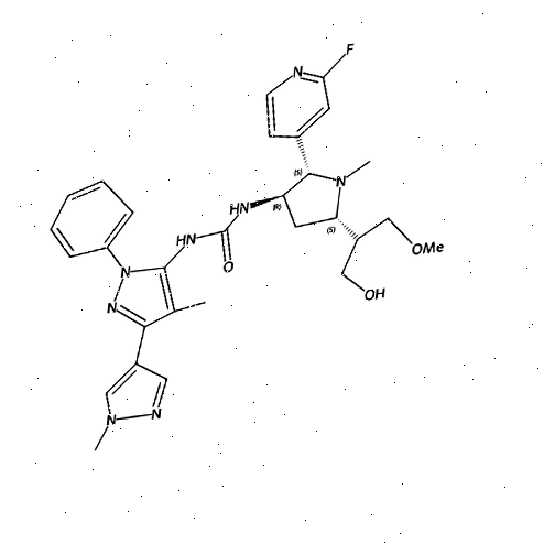 COCC(CO)[C@@H]1C[C@@H](NC(=O)Nc2c(C)c(-c3cnn(C)c3)nn2-c2ccccc2)[C@H](c2ccnc(F)c2)N1C